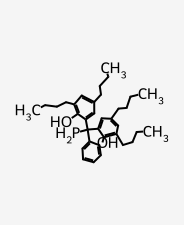 CCCCc1cc(CCCC)c(O)c(C(P)(c2ccccc2)c2cc(CCCC)cc(CCCC)c2O)c1